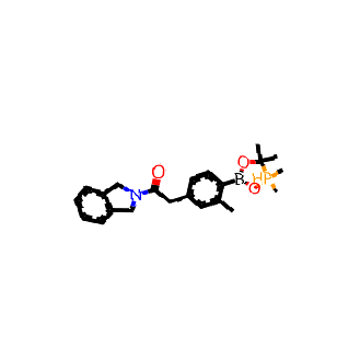 Cc1cc(CC(=O)N2Cc3ccccc3C2)ccc1B1OC(C)(C)[PH](C)(C)O1